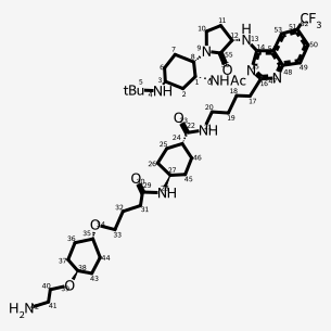 CC(=O)N[C@@H]1C[C@H](NC(C)(C)C)CC[C@@H]1N1CC[C@H](Nc2nc(CCCCNC(=O)[C@H]3CC[C@H](NC(=O)CCCO[C@H]4CC[C@H](OCCN)CC4)CC3)nc3ccc(C(F)(F)F)cc23)C1=O